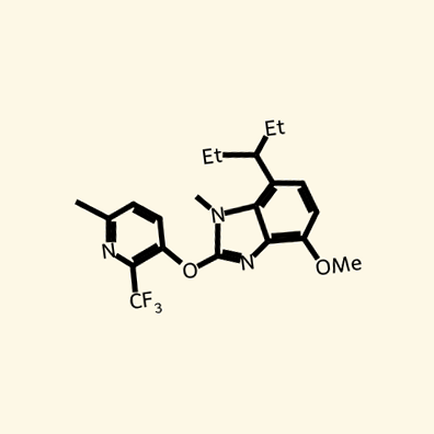 CCC(CC)c1ccc(OC)c2nc(Oc3ccc(C)nc3C(F)(F)F)n(C)c12